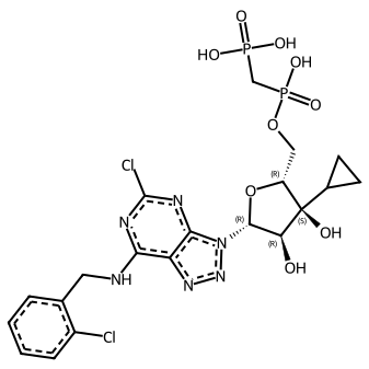 O=P(O)(O)CP(=O)(O)OC[C@H]1O[C@@H](n2nnc3c(NCc4ccccc4Cl)nc(Cl)nc32)[C@H](O)[C@@]1(O)C1CC1